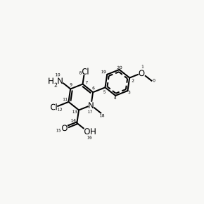 COc1ccc(C2=C(Cl)C(N)=C(Cl)C(C(=O)O)N2C)cc1